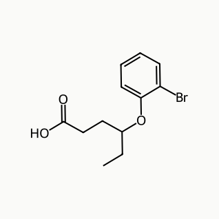 CCC(CCC(=O)O)Oc1ccccc1Br